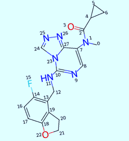 CN(C(=O)C1CC1)c1cnc(NCc2c(F)ccc3c2CCO3)n2cnnc12